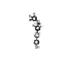 Fc1cc(OC(F)(F)c2c(F)cc(C3OCC(C4CCC(S)CC4)CO3)cc2F)cc(F)c1F